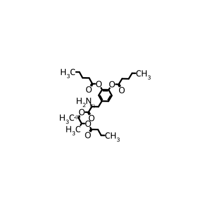 CCCCC(=O)Oc1ccc(C[C@H](N)C(=O)O[C@@H](C)C(C)OC(=O)CCC)cc1OC(=O)CCCC